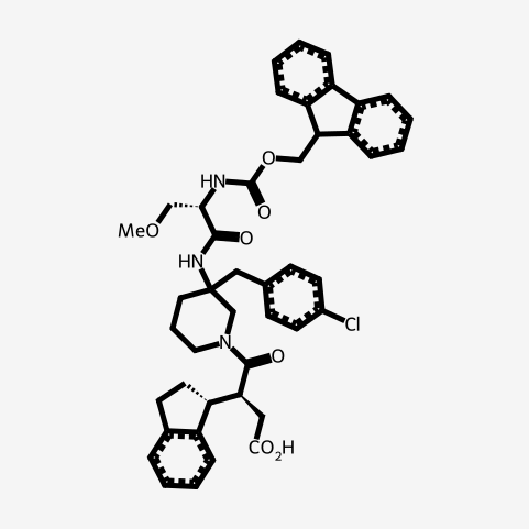 COC[C@H](NC(=O)OCC1c2ccccc2-c2ccccc21)C(=O)NC1(Cc2ccc(Cl)cc2)CCCN(C(=O)[C@@H](CC(=O)O)[C@H]2CCc3ccccc32)C1